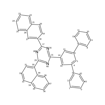 c1ccc(-c2cc(-c3ccccc3)cc(-c3nc(-c4ccc5ccccc5c4)nc(-c4cccc5ccccc45)n3)c2)cc1